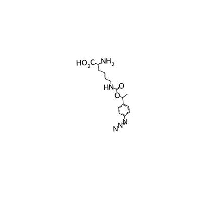 CC(OC(=O)NCCCC[C@H](N)C(=O)O)c1ccc(N=[N+]=[N-])cc1